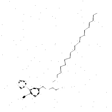 CCCCCCCCCCCCCCCCCCOC[C@H](CO)OCc1ccc(C#N)c(-n2cncn2)c1